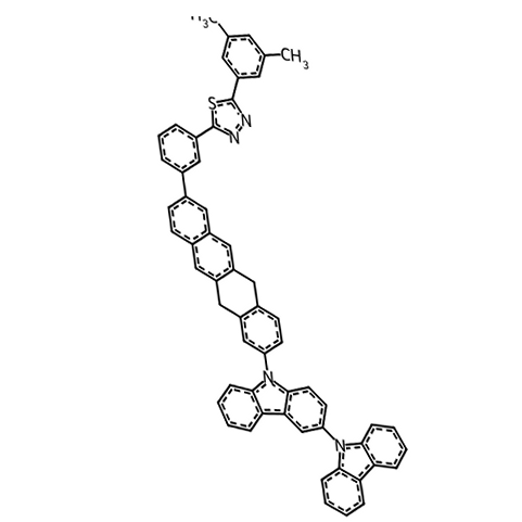 Cc1cc(C)cc(-c2nnc(-c3cccc(-c4ccc5cc6c(cc5c4)Cc4ccc(-n5c7ccccc7c7cc(-n8c9ccccc9c9ccccc98)ccc75)cc4C6)c3)s2)c1